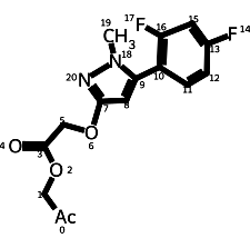 CC(=O)COC(=O)COc1cc(-c2ccc(F)cc2F)n(C)n1